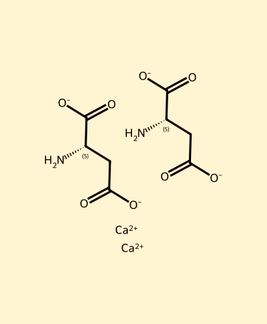 N[C@@H](CC(=O)[O-])C(=O)[O-].N[C@@H](CC(=O)[O-])C(=O)[O-].[Ca+2].[Ca+2]